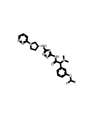 CN(C)C(C(=O)Nc1nnc(N[C@@H]2CCN(c3cccnn3)C2)s1)c1cccc(OC(F)F)c1